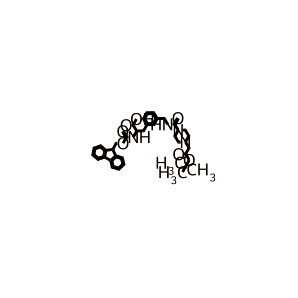 CC(C)(C)OC(=O)CN1CCN(C(=O)NCc2cccc(CC(NC(=O)OCC3c4ccccc4-c4ccccc43)C(=O)O)c2)CC1